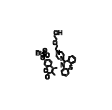 CCS(=O)(=O)Oc1ccc2c(C)c(C)c(=O)oc2c1.OCCOCCN1CCN(C2=Nc3ccccc3Sc3ccccc32)CC1